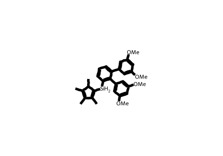 COc1cc(OC)cc(-c2cccc([SiH2]C3=C(C)C(C)=C(C)C3C)c2-c2cc(OC)cc(OC)c2)c1